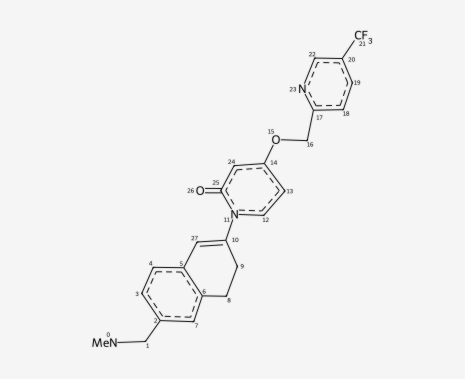 CNCc1ccc2c(c1)CCC(n1ccc(OCc3ccc(C(F)(F)F)cn3)cc1=O)=C2